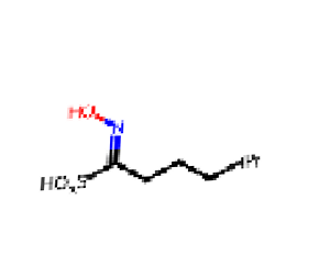 CC(C)CCCC(=NO)S(=O)(=O)O